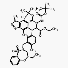 CCOC(=O)C(C(c1ccc(C)c(CN2C[C@@H](CC)Oc3ccccc3S2(=O)=O)c1)c1ccc2c(nnn2C)c1C)N(NC(=O)OC(C)(C)C)C(=O)OC(C)(C)C